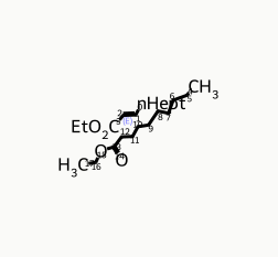 CCCCCCC/C=C/C(=O)OCC.CCCCCCCCCC(=O)OCC